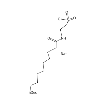 CCCCCCCCCCCCCCCCCCC(=O)NCCS(=O)(=O)[O-].[Na+]